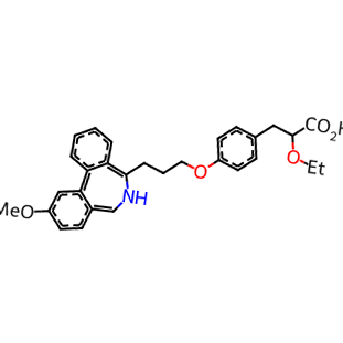 CCOC(Cc1ccc(OCCCC2=c3ccccc3=c3cc(OC)ccc3=CN2)cc1)C(=O)O